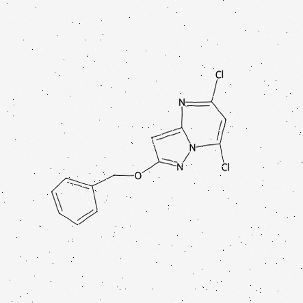 Clc1cc(Cl)n2nc(OCc3ccccc3)cc2n1